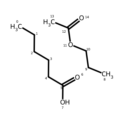 CCCCCC(=O)O.CCCOC(C)=O